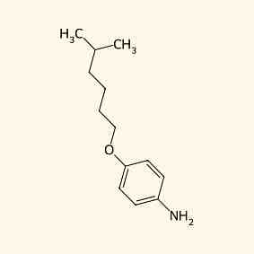 CC(C)CCCCOc1ccc(N)cc1